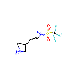 O=S(=O)(NCCC1CNC1)C(F)(F)F